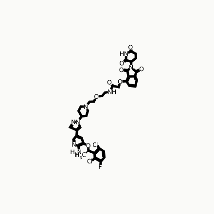 C[C@@H](Oc1cc(-c2cnn(C3CCN(CCOCCNC(=O)COc4cccc5c4C(=O)N(C4CCC(=O)NC4=O)C5=O)CC3)c2)cnc1N)c1c(Cl)ccc(F)c1Cl